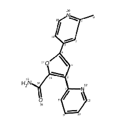 Cc1cc(-c2cc(-c3ccccn3)c(C(N)=O)o2)ccn1